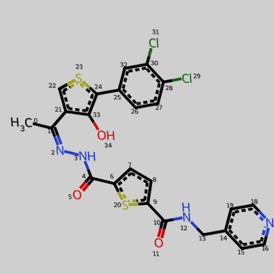 C/C(=N/NC(=O)c1ccc(C(=O)NCc2ccncc2)s1)c1csc(-c2ccc(Cl)c(Cl)c2)c1O